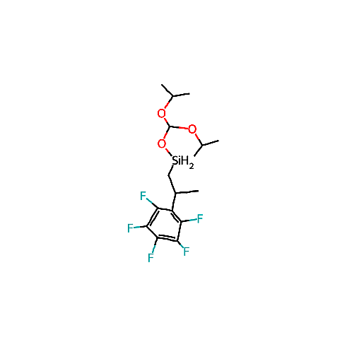 CC(C)OC(O[SiH2]CC(C)c1c(F)c(F)c(F)c(F)c1F)OC(C)C